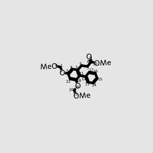 COCOc1cc(CCC(=O)OC)c(-c2ccccc2)c(OCOC)c1